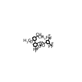 COc1ccc(C(C)C)cc1-c1ccc(C(F)(F)F)cc1CN1CC(c2cc(C(F)(F)F)cc(C(F)(F)F)c2)OC1=O